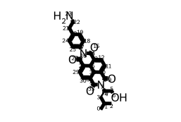 CC(C)C[C@H](CO)N1C(=O)C2=CC=C3C(=O)N(c4ccc(CCN)cc4)C(=O)C4=CC=C(C1=O)C2C34